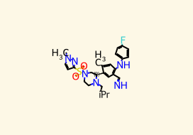 Cc1cc(Nc2ccc(F)cc2)c(C=N)cc1[C@@H]1CN(S(=O)(=O)c2ccn(C)n2)CCN1CC(C)C